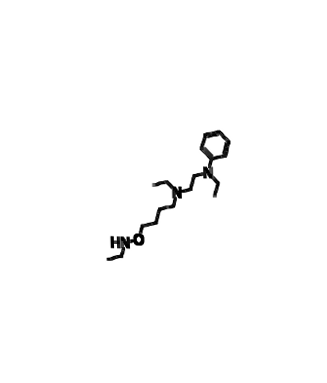 CCNOCCCCN(CC)CCN(CC)c1ccccc1